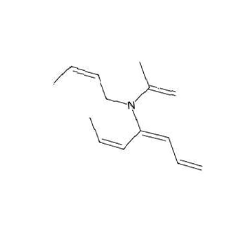 C=C/C=C(\C=C/C)N(C/C=C\C)C(=C)C